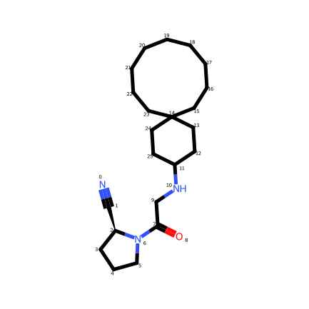 N#C[C@@H]1CCCN1C(=O)CNC1CCC2(CCCCCCCCC2)CC1